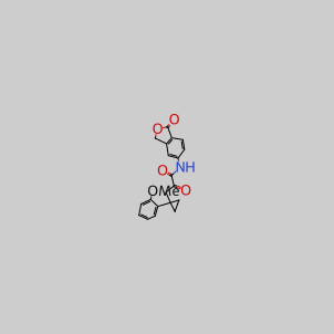 COc1ccccc1C1(CC(=O)C(=O)Nc2ccc3c(c2)COC3=O)CC1